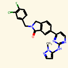 Cn1nccc1Nc1nccc(-c2ccc3c(c2)C(=O)N(Cc2ccc(F)c(Cl)c2)C3)n1